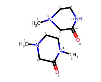 CN1CCN(C)C(=O)C1.CN1CCNC(=O)C1